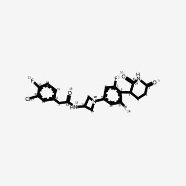 O=C1CCC(c2c(F)cc(N3CC(NC(=O)Cc4ccc(F)c(Cl)c4)C3)cc2F)C(=O)N1